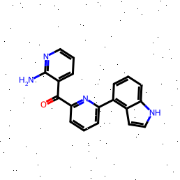 Nc1ncccc1C(=O)c1cccc(-c2cccc3[nH]ccc23)n1